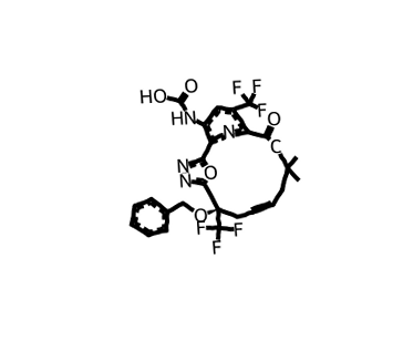 CC1(C)CC=CC[C@](OCc2ccccc2)(C(F)(F)F)c2nnc(o2)-c2nc(c(C(F)(F)F)cc2NC(=O)O)C(=O)C1